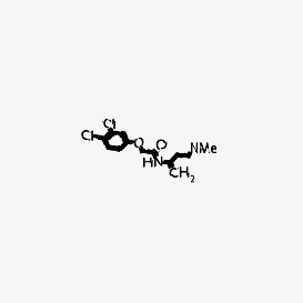 C=C(CCNC)NC(=O)COc1ccc(Cl)c(Cl)c1